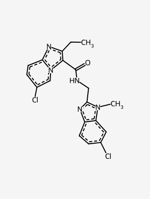 CCc1nc2ccc(Cl)cn2c1C(=O)NCc1nc2ccc(Cl)cc2n1C